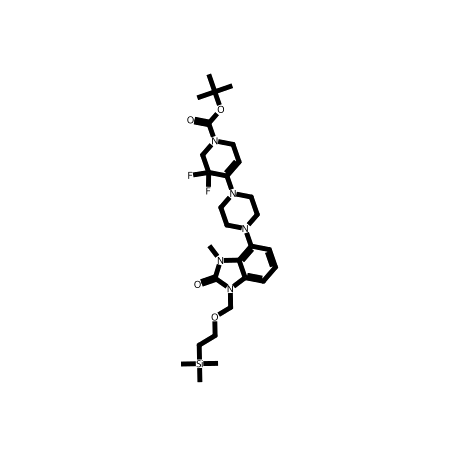 Cn1c(=O)n(COCC[Si](C)(C)C)c2cccc(N3CCN(C4=CCN(C(=O)OC(C)(C)C)CC4(F)F)CC3)c21